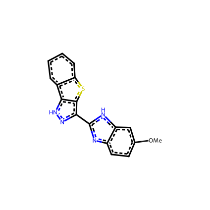 COc1ccc2nc(-c3n[nH]c4c3sc3ccccc34)[nH]c2c1